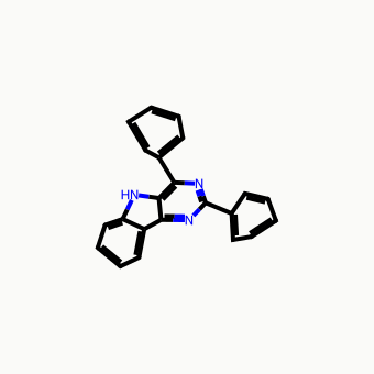 c1ccc(-c2nc(-c3ccccc3)c3[nH]c4ccccc4c3n2)cc1